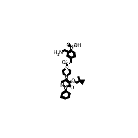 CC1(COc2c(N3CCN([S+]([O-])Cc4ccc([N+](=O)O)c(CN)c4)CC3)cnn(-c3ccccc3)c2=O)CC1